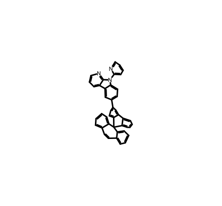 C1=Cc2ccccc2C2(c3ccccc31)c1ccccc1-c1cc(-c3ccc4c(c3)c3cccnc3n4-c3ccccn3)ccc12